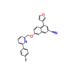 N#Cc1cc(-c2ccoc2)c2ccc(OCc3cccc(-c4ccc(F)cc4)n3)cc2c1